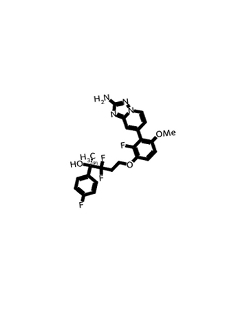 COc1ccc(OCCC(F)(F)[C@](C)(O)c2ccc(F)cc2)c(F)c1-c1ccn2nc(N)nc2c1